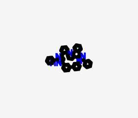 C1=C(c2cccc(-c3cccc(-n4c(-c5ccccc5)nc5c6ccccc6c6ncccc6c54)c3)c2)NC(c2ccccc2)N=C1c1ccccc1